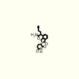 C#CCCC(C(N)=O)c1cccc2c1CN(C1CCC(=O)NC1=O)C2=O